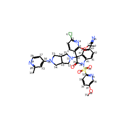 CCOc1nc(Cl)ccc1C1(N2CC3CN(c4ccnc(C)c4)CC3C2)C(=O)N(S(=O)(=O)c2ccc(OC)cn2)c2ccc(C#N)cc21